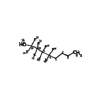 CCCCC(F)(F)C(F)(F)C(F)(F)C(O)(F)F